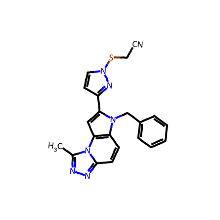 Cc1nnc2ccc3c(cc(-c4ccn(SCC#N)n4)n3Cc3ccccc3)n12